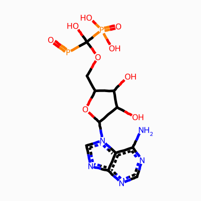 Nc1ncnc2ncn(C3OC(COC(O)(P=O)P(=O)(O)O)C(O)C3O)c12